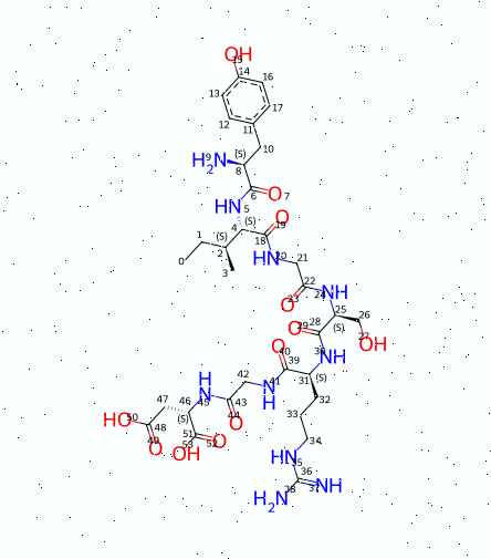 CC[C@H](C)[C@H](NC(=O)[C@@H](N)Cc1ccc(O)cc1)C(=O)NCC(=O)N[C@@H](CO)C(=O)N[C@@H](CCCNC(=N)N)C(=O)NCC(=O)N[C@@H](CC(=O)O)C(=O)O